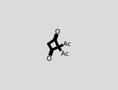 CC(=O)C1(C(C)=O)C(=O)CC1=O